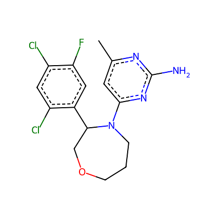 Cc1cc(N2CCCOCC2c2cc(F)c(Cl)cc2Cl)nc(N)n1